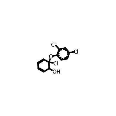 OC1C=CC=CC1(Cl)Oc1ccc(Cl)cc1Cl